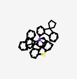 c1ccc(N(c2cccc3c2-c2ccccc2C32CCCC2)c2cccc3sc4cccc(C5(c6ccccc6)c6ccccc6-c6ccccc65)c4c23)cc1